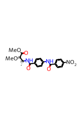 COC(=O)[C@@H](OC)[C@@H](C)NC(=O)c1ccc(NC(=O)c2ccc([N+](=O)[O-])cc2)cc1